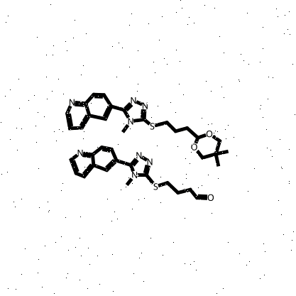 Cn1c(SCCCC2OCC(C)(C)CO2)nnc1-c1ccc2ncccc2c1.Cn1c(SCCCC=O)nnc1-c1ccc2ncccc2c1